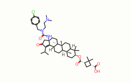 CC(C)C1=C2[C@H]3CC[C@@H]4[C@@]5(C)CC[C@H](OC(=O)[C@H]6C[C@@H](C(=O)O)C6(C)C)C(C)(C)[C@@H]5CC[C@@]4(C)[C@]3(C)CC[C@@]2(NC(=O)N(CCN(C)C)Cc2ccc(Cl)cc2)CC1=O